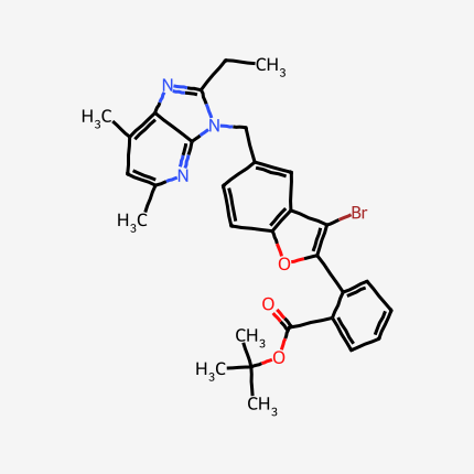 CCc1nc2c(C)cc(C)nc2n1Cc1ccc2oc(-c3ccccc3C(=O)OC(C)(C)C)c(Br)c2c1